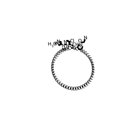 CN(c1nc(Nc2cnn(C)c2)ncc1Cl)C1CCCCCCCCCCCCCCCCCCCCCCCCCCCCCCCCCCCCCCCCCCCCCCCCC2(CC1)CCN(C(=O)CC#N)CC2